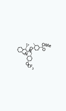 COC(=O)c1ccc(ON(Cc2ccc(OC(F)(F)F)cc2)c2ncc3ccccc3c2C2CC2)c(C)c1